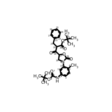 Cc1ccc(NC(=O)OC(C)(C)C)cc1N1CC(C(=O)C(Cc2ccccc2)C(=O)OC(C)(C)C)OC1=O